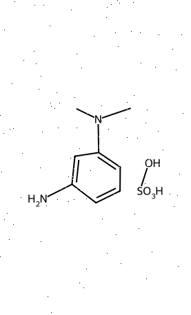 CN(C)c1cccc(N)c1.O=S(=O)(O)O